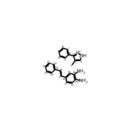 Cc1c[nH]nc1-c1ccccc1.Nc1ccc(C=Cc2ccccc2)cc1N